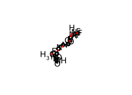 Cn1nc(N2CCC(=O)NC2=O)c2ccc(C3CCN(CC4CCN(c5cccc(S(=O)(=O)N6CCC(Nc7ncc(C(F)(F)F)cn7)CC6)c5)CC4)CC3)c(F)c21